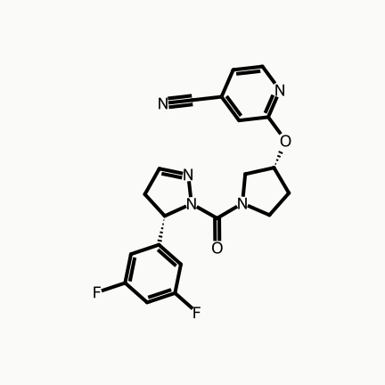 N#Cc1ccnc(O[C@@H]2CCN(C(=O)N3N=CC[C@H]3c3cc(F)cc(F)c3)C2)c1